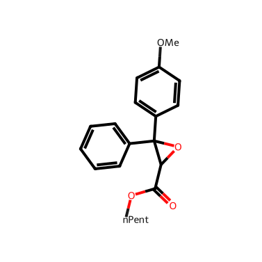 CCCCCOC(=O)C1OC1(c1ccccc1)c1ccc(OC)cc1